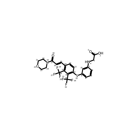 O=C(O)CNc1cccc(Sc2ccc(/C=C/C(=O)N3CCOCC3)c(C(F)(F)F)c2C(F)(F)F)c1